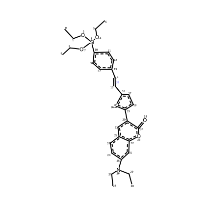 CCO[Si](OCC)(OCC)c1ccc(/C=C/c2ccc(-c3cc4ccc(N(CC)CC)cc4oc3=O)s2)cc1